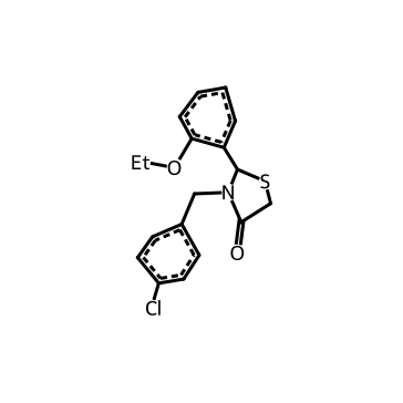 CCOc1ccccc1C1SCC(=O)N1Cc1ccc(Cl)cc1